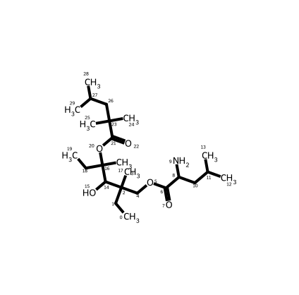 CCC(C)(COC(=O)C(N)CC(C)C)C(O)C(C)(CC)OC(=O)C(C)(C)CC(C)C